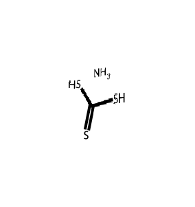 N.S=C(S)S